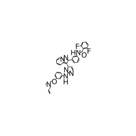 C=CCN(C)COc1cccc(Nc2nccc(-c3c(-c4cccc(NC(=O)c5c(F)cccc5F)c4)nn4ccccc34)n2)c1